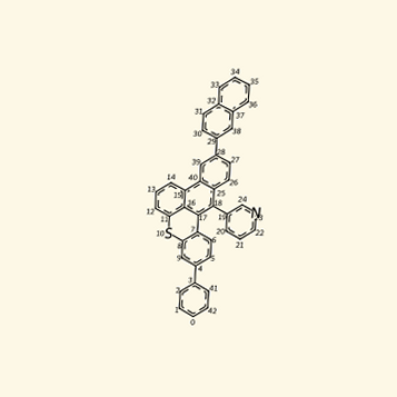 c1ccc(-c2ccc3c(c2)Sc2cccc4c2c-3c(-c2cccnc2)c2ccc(-c3ccc5ccccc5c3)cc24)cc1